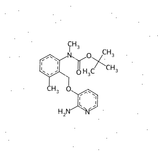 Cc1cccc(N(C)C(=O)OC(C)(C)C)c1COc1cccnc1N